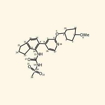 COC1CCC(Oc2cc(-c3ccc4c(c3NC(=O)NS(C)(=O)=O)CCC4)ccn2)CC1